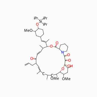 C=CCC1/C=C(\C)CC(C)CC(OC)C2OC(O)(C(=O)C(=O)N3CCCCC3C(=O)OC(C(C)=CC3CCC(O[Si](C(C)C)(C(C)C)C(C)C)C(OC)C3)C(C)/C=C/C1=O)C(C)CC2OC